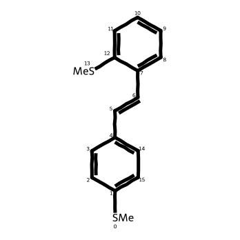 CSc1ccc(C=Cc2ccccc2SC)cc1